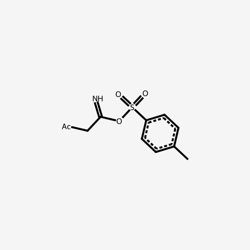 CC(=O)CC(=N)OS(=O)(=O)c1ccc(C)cc1